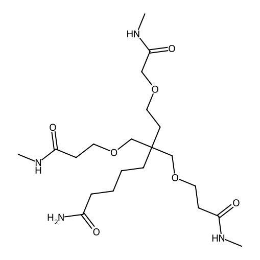 CNC(=O)CCOCC(CCCCC(N)=O)(CCOCC(=O)NC)COCCC(=O)NC